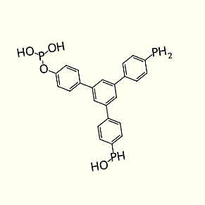 OPc1ccc(-c2cc(-c3ccc(P)cc3)cc(-c3ccc(OP(O)O)cc3)c2)cc1